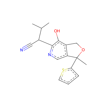 CC(C)C(C#N)c1ncc2c(c1O)COC2(C)c1cccs1